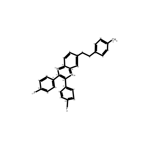 Cc1ccc(CCc2ccc3nc(-c4ccc(F)cc4)c(-c4ccc(F)cc4)nc3c2)cc1